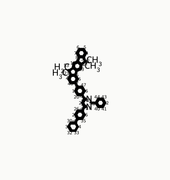 CC1(C)c2ccccc2-c2cc3c(cc21)-c1cc(-c2ccc(-c4cc(-c5ccc(C6=CC=CCC6)cc5)nc(-c5ccccc5)n4)cc2)ccc1C3(C)C